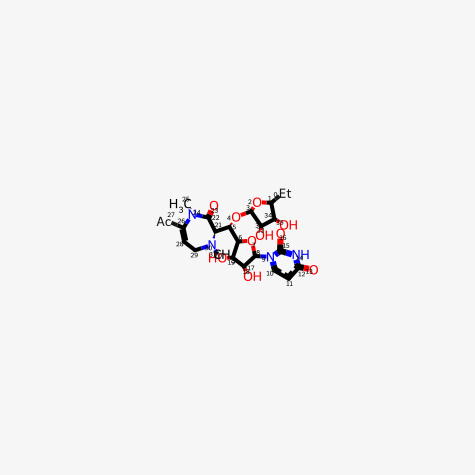 CCC1OC(O[C@H](C2OC(n3ccc(=O)[nH]c3=O)C(O)C2O)[C@H]2C(=O)N(C)C(C(C)=O)=CCN2C)C(O)C1O